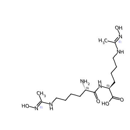 C/C(=N\O)NCCCC[C@H](NC(=O)[C@@H](N)CCCCN/C(C)=N/O)C(=O)O